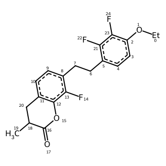 CCOc1ccc(CCc2ccc3c(c2F)OC(=O)C(C)C3)c(F)c1F